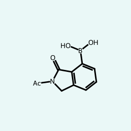 CC(=O)N1Cc2cccc(B(O)O)c2C1=O